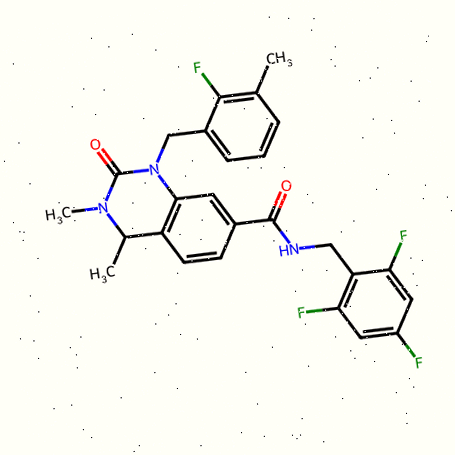 Cc1cccc(CN2C(=O)N(C)C(C)c3ccc(C(=O)NCc4c(F)cc(F)cc4F)cc32)c1F